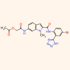 CC(=O)OCC(=O)Nc1ccc2cc(C(=O)Nc3ccc(Br)cc3-c3nnn[nH]3)n(C)c2c1